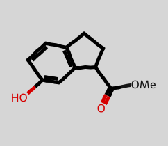 COC(=O)C1CCc2ccc(O)cc21